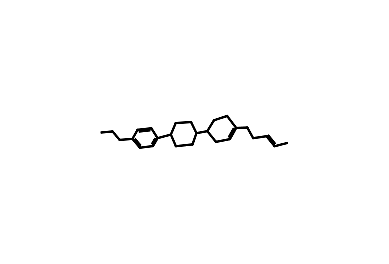 CC=CCCC1=CCC(C2CCC(c3ccc(CCC)cc3)CC2)CC1